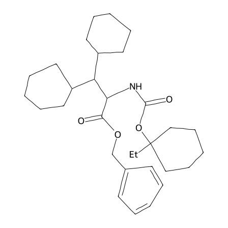 CCC1(OC(=O)NC(C(=O)OCc2ccccc2)C(C2CCCCC2)C2CCCCC2)CCCCC1